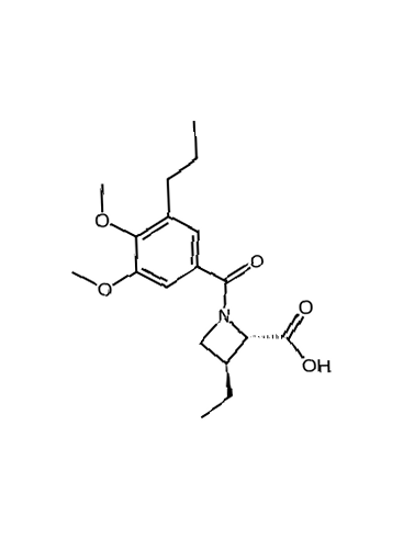 CCCc1cc(C(=O)N2C[C@H](CC)[C@H]2C(=O)O)cc(OC)c1OC